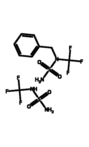 NS(=O)(=O)N(Cc1ccccc1)C(F)(F)F.NS(=O)(=O)NC(F)(F)F